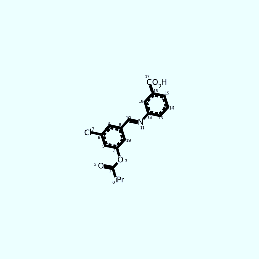 CC(C)C(=O)Oc1cc(Cl)cc(C=Nc2cccc(C(=O)O)c2)c1